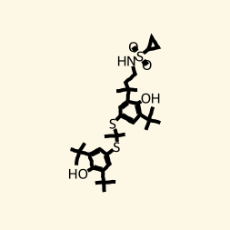 CC(C)(Sc1cc(C(C)(C)C)c(O)c(C(C)(C)C)c1)Sc1cc(C(C)(C)C)c(O)c(C(C)(C)CCNS(=O)(=O)C2CC2)c1